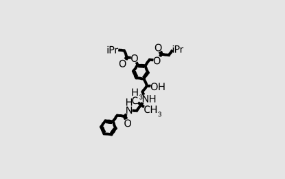 CC(C)CC(=O)OCc1cc(C(O)CNC(C)(C)CNC(=O)Cc2ccccc2)ccc1OC(=O)CC(C)C